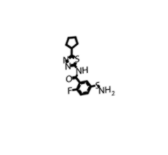 NSc1ccc(F)c(C(=O)Nc2nnc(C3CCCC3)s2)c1